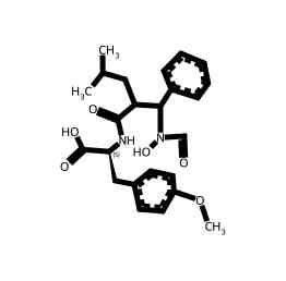 COc1ccc(C[C@H](NC(=O)C(CC(C)C)C(c2ccccc2)N(O)C=O)C(=O)O)cc1